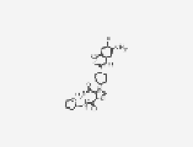 Cc1cc(NC(=O)[C@H]2CC[C@H](n3cnc(C(=O)NCC4CCCO4)c3C(N)=O)CC2)c(Cl)cc1F